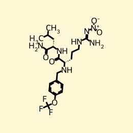 CC(C)C[C@H](NC(=O)[C@H](CCCN/C(N)=N/[N+](=O)[O-])NCc1ccc(OC(F)(F)F)cc1)C(N)=O